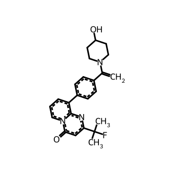 C=C(c1ccc(-c2cccn3c(=O)cc(C(C)(C)F)nc23)cc1)N1CCC(O)CC1